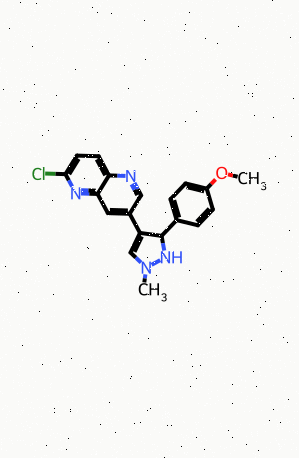 COc1ccc(C2NN(C)C=C2c2cnc3ccc(Cl)nc3c2)cc1